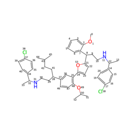 COc1ccccc1C(CCNC(C)c1ccc(Cl)cc1)c1ccc(-c2cc(C(CCNC(C)c3ccc(Cl)cc3)CCC(C)C)ccc2OC(C)C)o1